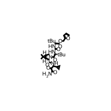 CC(C)(C)[C@H](NC(=O)N[C@H](C(=O)N1C[C@H]2[C@@H]([C@H]1C(=O)NC(C(=O)C(N)=O)C1CC1)C2(C)C)C(C)(C)C)C(=O)OCc1ccco1